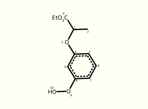 CCOC(=O)C(C)Oc1cccc(OO)c1